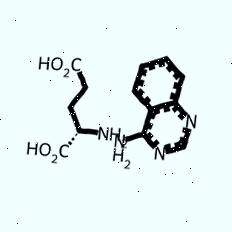 N[C@@H](CCC(=O)O)C(=O)O.Nc1ncnc2ccccc12